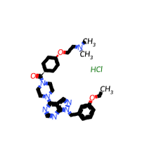 CCOc1cccc(Cn2ncc3c(N4CCN(C(=O)[C@H]5CC[C@H](OCCN(C)C)CC5)CC4)ncnc32)c1.Cl